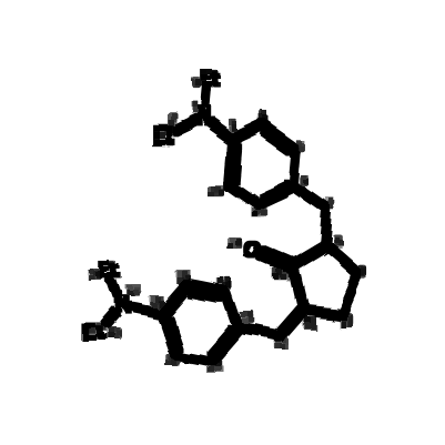 CCN(CC)c1ccc(CC2CCC(Cc3ccc(N(CC)CC)cc3)C2=O)cc1